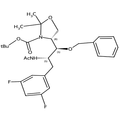 CC(=O)N[C@@H](Cc1cc(F)cc(F)c1)[C@H](OCc1ccccc1)[C@H]1COC(C)(C)N1C(=O)OC(C)(C)C